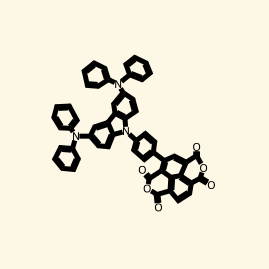 O=C1OC(=O)c2cc(-c3ccc(-n4c5ccc(N(c6ccccc6)c6ccccc6)cc5c5cc(N(c6ccccc6)c6ccccc6)ccc54)cc3)c3c4c(ccc1c24)C(=O)OC3=O